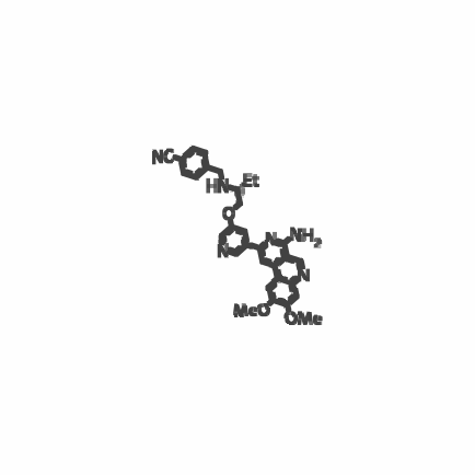 CC[C@H](COc1cncc(-c2cc3c(cnc4cc(OC)c(OC)cc43)c(N)n2)c1)NCc1ccc(C#N)cc1